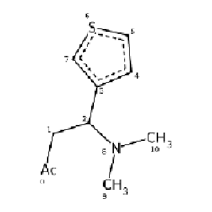 CC(=O)CC(c1ccsc1)N(C)C